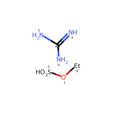 CCOS(=O)(=O)O.N=C(N)N